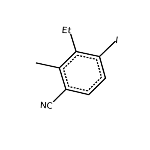 [CH2]Cc1c(I)ccc(C#N)c1C